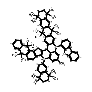 Cc1cc2c3c(c1)N(c1cccc4c1oc1ccccc14)c1cc4c(cc1C3C1=C(c3ccc5c(c3C1)C(C)(C)c1ccccc1C5(C)C)N2c1ccc2c(c1)C(C)(C)CCC2(C)C)C(C)(C)c1cc2c(cc1C4(C)C)C(C)(C)CCC2(C)C